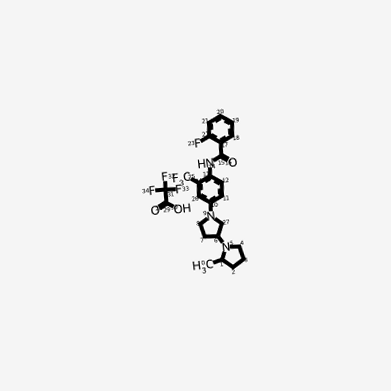 CC1CCCN1C1CCN(c2ccc(NC(=O)c3ccccc3F)c(C(F)(F)F)c2)C1.O=C(O)C(F)(F)F